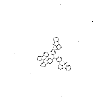 CC1(C)c2ccccc2-c2cccc(-c3cccc(N(c4cccc(-c5cccc6c5C(C)(C)c5ccccc5-6)c4)c4ccc5c(c4)C4(c6ccccc6-c6ccccc64)c4ccccc4-5)c3)c21